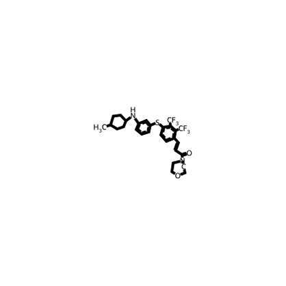 CC1CCC(Nc2cccc(Sc3ccc(C=CC(=O)N4CCOCC4)c(C(F)(F)F)c3C(F)(F)F)c2)CC1